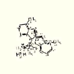 CCC1=Cc2c(C)cccc2[CH]1[Zr]([CH3])([CH3])(=[SiH2])[CH]1C(CC)=Cc2c(C)cccc21.F.F